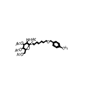 CC(=O)NC1C(SCCCCCCOCc2ccc(C)cc2)OC(COC(C)=O)C(OC(C)=O)C1OC(C)=O